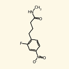 CNC(=O)CCCc1ccc([N+](=O)[O-])cc1F